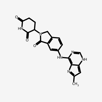 Cc1cc2[nH]cnc(Nc3ccc4c(c3)C(=O)N(C3CCC(=O)NC3=O)C4)c-2n1